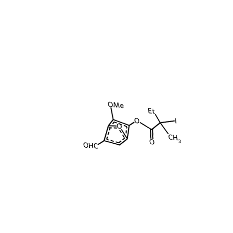 CCC(C)(I)C(=O)Oc1c(OC)c2oc1cc2C=O